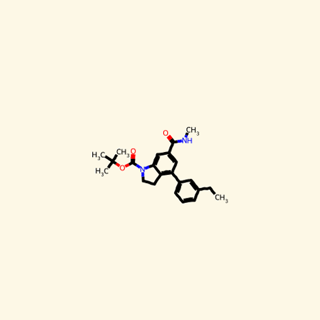 CCc1cccc(-c2cc(C(=O)NC)cc3c2CCN3C(=O)OC(C)(C)C)c1